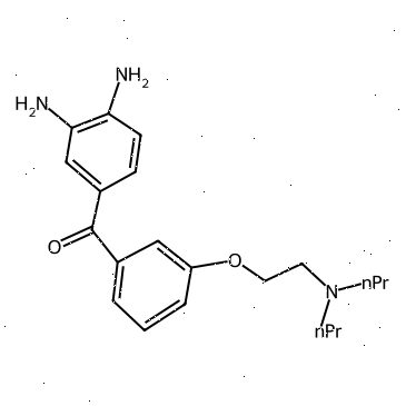 CCCN(CCC)CCOc1cccc(C(=O)c2ccc(N)c(N)c2)c1